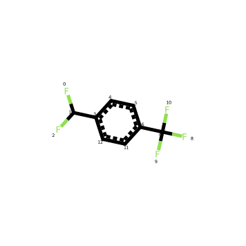 FC(F)c1ccc(C(F)(F)F)cc1